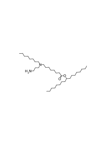 CCCCCCCCC(CCCCCCCC)OC(=O)CCCCCCCN(CCCN)CCCCCCCC